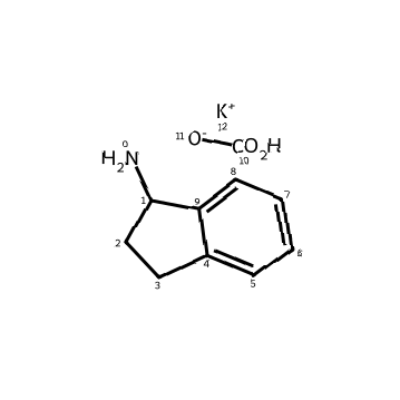 NC1CCc2ccccc21.O=C([O-])O.[K+]